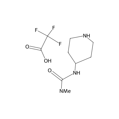 CNC(=O)NC1CCNCC1.O=C(O)C(F)(F)F